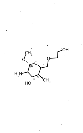 CO[C@@H]1OC(COCCO)[C@@H](C)[C@H](O)C1N